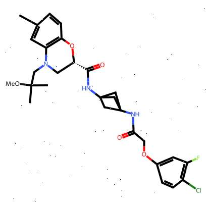 COC(C)(C)CN1C[C@@H](C(=O)NC23CC(NC(=O)COc4ccc(Cl)c(F)c4)(C2)C3)Oc2ccc(C)cc21